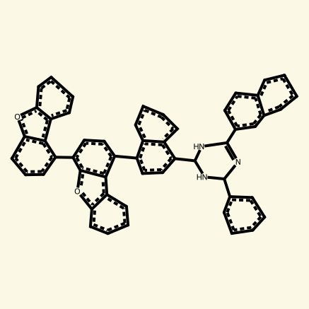 c1ccc(C2N=C(c3ccc4ccccc4c3)NC(c3ccc(-c4ccc(-c5cccc6oc7ccccc7c56)c5oc6ccccc6c45)c4ccccc34)N2)cc1